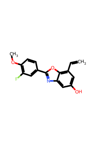 C=Cc1cc(O)cc2nc(-c3ccc(OC)c(F)c3)oc12